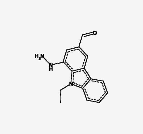 CCn1c2ccccc2c2cc(C=O)cc(NN)c21